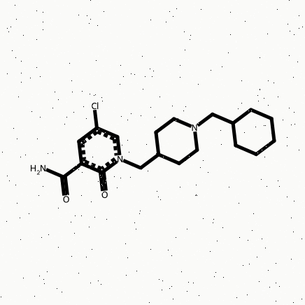 NC(=O)c1cc(Cl)cn(CC2CCN(CC3CCCCC3)CC2)c1=O